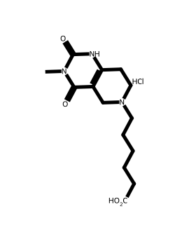 Cl.Cn1c(=O)[nH]c2c(c1=O)CN(CCCCCC(=O)O)CC2